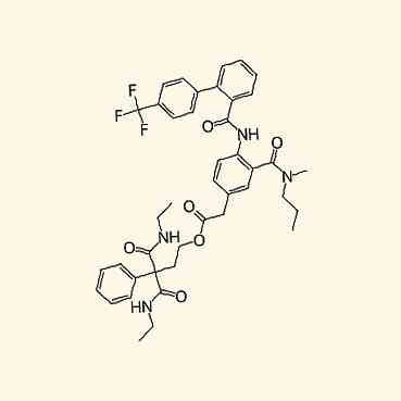 CCCN(C)C(=O)c1cc(CC(=O)OCCC(C(=O)NCC)(C(=O)NCC)c2ccccc2)ccc1NC(=O)c1ccccc1-c1ccc(C(F)(F)F)cc1